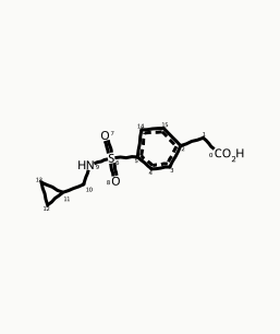 O=C(O)Cc1ccc(S(=O)(=O)NCC2CC2)cc1